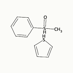 C[SH](=O)(c1ccccc1)[SH]1C=CC=C1